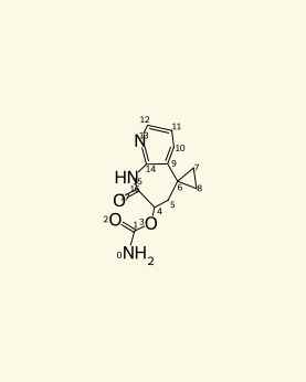 NC(=O)OC1CC2(CC2)c2cccnc2NC1=O